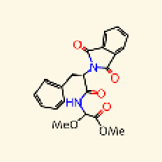 COC(=O)C(NC(=O)[C@@H](Cc1ccccc1)N1C(=O)c2ccccc2C1=O)OC